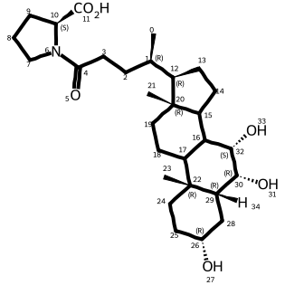 C[C@H](CCC(=O)N1CCC[C@H]1C(=O)O)[C@H]1CCC2C3C(CC[C@@]21C)[C@@]1(C)CC[C@@H](O)C[C@H]1[C@@H](O)[C@H]3O